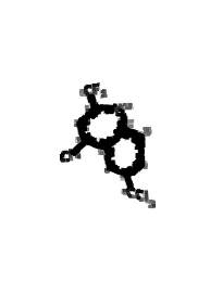 FC(F)(F)c1cc(Cl)c2cc(C(Cl)(Cl)Cl)ccc2n1